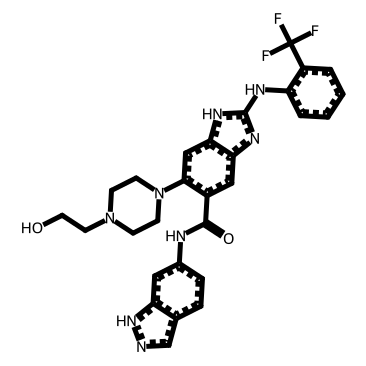 O=C(Nc1ccc2cn[nH]c2c1)c1cc2nc(Nc3ccccc3C(F)(F)F)[nH]c2cc1N1CCN(CCO)CC1